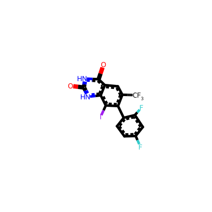 O=c1[nH]c(=O)c2cc(C(F)(F)F)c(-c3ccc(F)cc3F)c(I)c2[nH]1